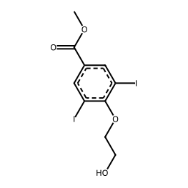 COC(=O)c1cc(I)c(OCCO)c(I)c1